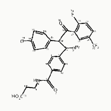 CCCC(c1ccc(C(=O)NCCC(=O)O)cc1)C(C(=O)c1cc(C(F)(F)F)ccc1F)c1ccc(Cl)cc1